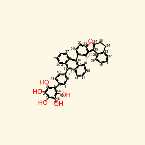 Oc1c(O)c(O)c(-c2ccc(-c3c4ccccc4c(-c4ccc5oc6c(c5c4)-c4ccccc4CC6)c4ccccc34)cc2)c(O)c1O